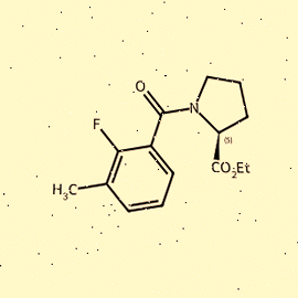 CCOC(=O)[C@@H]1CCCN1C(=O)c1cccc(C)c1F